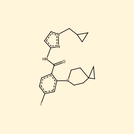 O=C(Nc1ccn(CC2CC2)n1)c1ccc(I)cc1N1CCC2(CC1)CC2